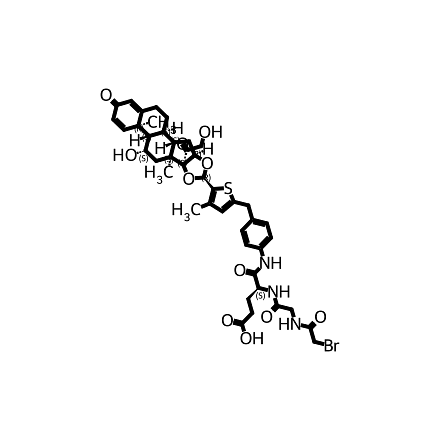 Cc1cc(Cc2ccc(NC(=O)[C@H](CCC(=O)O)NC(=O)CNC(=O)CBr)cc2)sc1[C@@H]1O[C@@H]2C[C@H]3[C@@H]4CCC5=CC(=O)C=C[C@]5(C)[C@H]4[C@@H](O)C[C@]3(C)[C@]2(C(=O)CO)O1